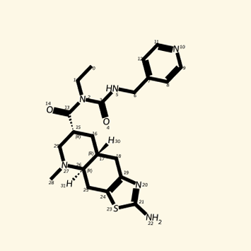 CCN(C(=O)NCc1ccncc1)C(=O)[C@@H]1C[C@@H]2Cc3nc(N)sc3C[C@H]2N(C)C1